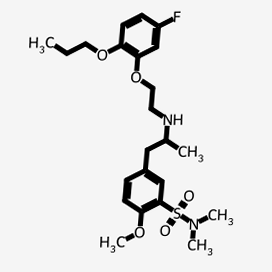 CCCOc1ccc(F)cc1OCCNC(C)Cc1ccc(OC)c(S(=O)(=O)N(C)C)c1